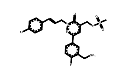 CS(=O)(=O)OCc1cc(-c2ccc(F)c(CN)c2)nn(C/C=C/c2ccc(Cl)cc2)c1=O